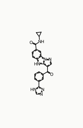 O=C(NC1CC1)c1ccc2[nH]c3c(C(=O)c4cccc(-c5nnc[nH]5)c4)cnn3c2c1